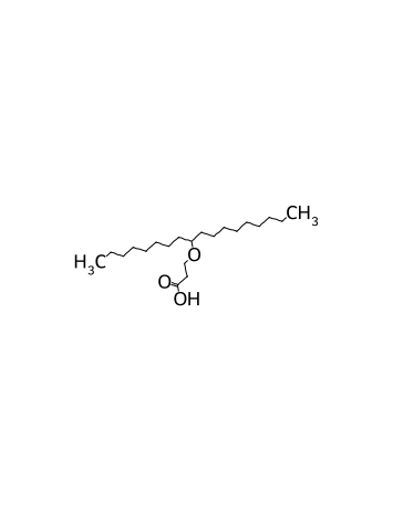 CCCCCCCCCC(CCCCCCCC)OCCC(=O)O